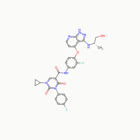 C[C@@H](CO)Nc1n[nH]c2nccc(Oc3ccc(NC(=O)c4cn(C5CC5)c(=O)n(-c5ccc(F)cc5)c4=O)cc3F)c12